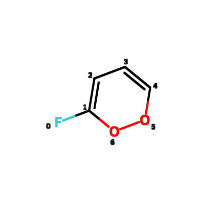 FC1=CC=COO1